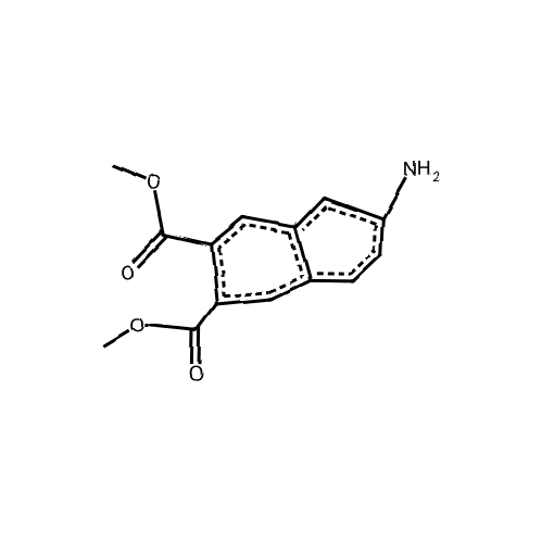 COC(=O)c1cc2ccc(N)cc2cc1C(=O)OC